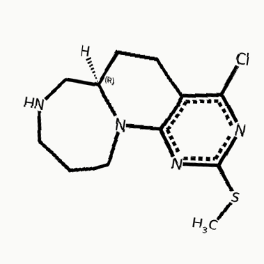 CSc1nc(Cl)c2c(n1)N1CCCNC[C@H]1CC2